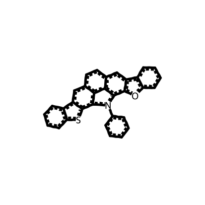 c1ccc(-n2c3c4oc5ccccc5c4cc4ccc5cc6c7ccccc7sc6c2c5c43)cc1